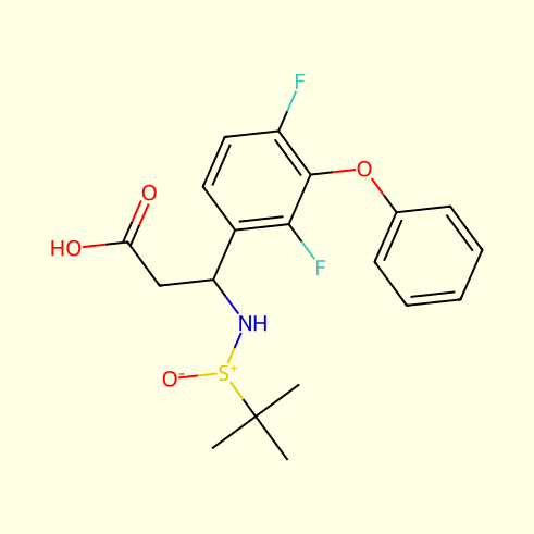 CC(C)(C)[S+]([O-])NC(CC(=O)O)c1ccc(F)c(Oc2ccccc2)c1F